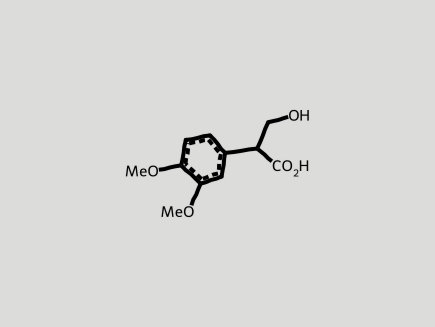 COc1ccc(C(CO)C(=O)O)cc1OC